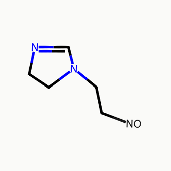 O=NCCN1C=NCC1